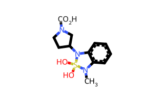 CN1c2ccccc2N(C2CCN(C(=O)O)C2)S1(O)O